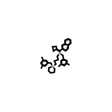 Cc1cc(C)cc(CN(CCCC[N+]2(Cc3cc(C)cc(C)c3)CCCCC2)C(=C2CCC2)c2ccc3ccccc3c2)c1